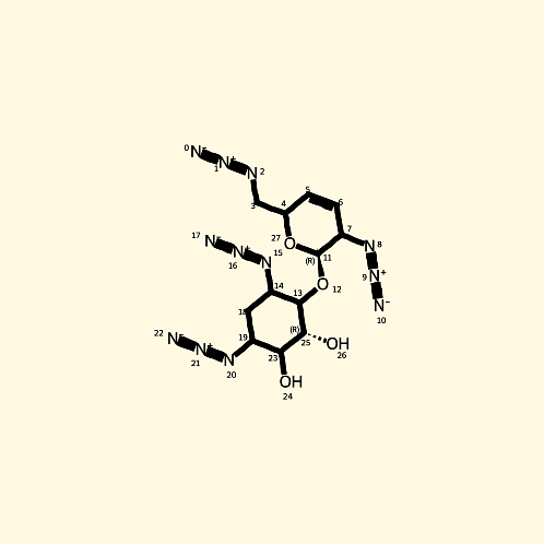 [N-]=[N+]=NCC1C=CC(N=[N+]=[N-])[C@@H](OC2C(N=[N+]=[N-])CC(N=[N+]=[N-])C(O)[C@H]2O)O1